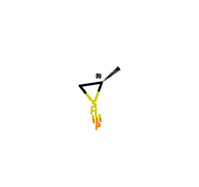 C[C@H]1C[SH]1#P